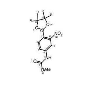 COC(=O)Nc1ccc(B2OC(C)(C)C(C)(C)O2)c([N+](=O)[O-])c1